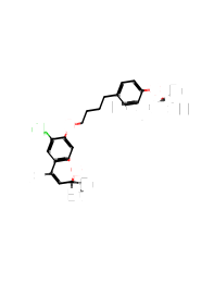 CCC1(CC)C=C(C(F)(F)F)c2cc(Cl)c(OCCCCc3ccc(O[C@](C)(CC)C(=O)O)cc3)cc2O1